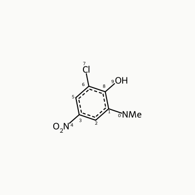 CNc1cc([N+](=O)[O-])cc(Cl)c1O